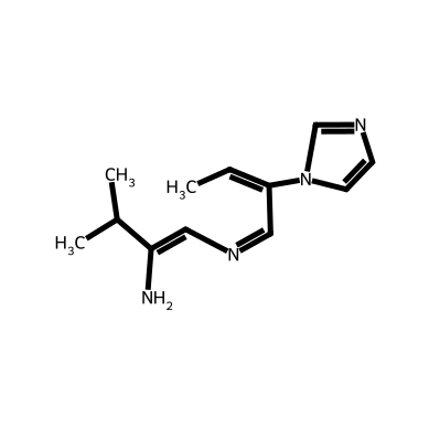 C\C=C(/C=N\C=C(/N)C(C)C)n1ccnc1